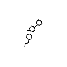 CC=C[C@H]1CC[C@H](C2(C)C=CC(c3ccccc3)=CC2)CC1